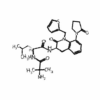 CC(C)C[C@@H](NC(=O)C(C)(C)N)C(=O)NC1Cc2cccc(N3CCCC3=O)c2N(Cc2cccs2)C1=O